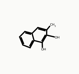 Cc1cc2ccccc2c(O)c1O